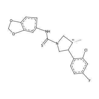 C[C@H]1CN(C(=S)Nc2ccc3c(c2)OCO3)CC1c1ccc(F)cc1Cl